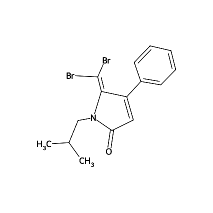 CC(C)CN1C(=O)C=C(c2ccccc2)C1=C(Br)Br